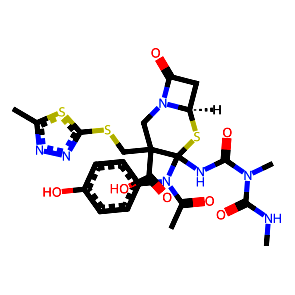 CNC(=O)N(C)C(=O)NC1(N(C(C)=O)c2ccc(O)cc2)S[C@@H]2CC(=O)N2CC1(CSc1nnc(C)s1)C(=O)O